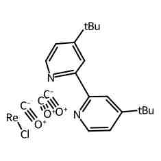 CC(C)(C)c1ccnc(-c2cc(C(C)(C)C)ccn2)c1.[C-]#[O+].[C-]#[O+].[C-]#[O+].[Cl][Re]